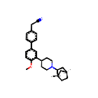 COc1ccc(-c2ccc(CC#N)cc2)cc1C1CCN(C2C[C@H]3CC[C@H]2C3)CC1